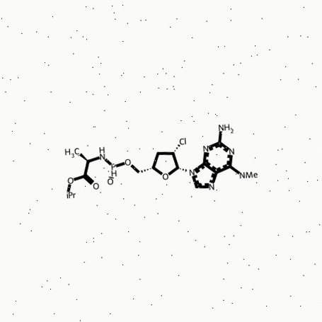 CNc1nc(N)nc2c1ncn2[C@@H]1O[C@H](CO[PH](=O)N[C@H](C)C(=O)OC(C)C)C[C@@H]1Cl